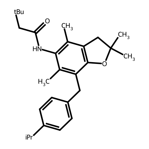 Cc1c(Cc2ccc(C(C)C)cc2)c2c(c(C)c1NC(=O)CC(C)(C)C)CC(C)(C)O2